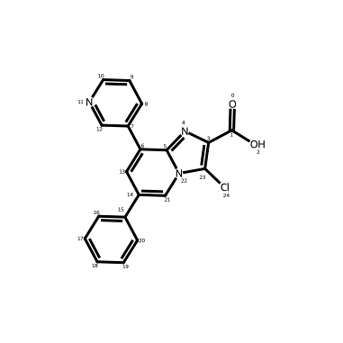 O=C(O)c1nc2c(-c3cccnc3)cc(-c3ccccc3)cn2c1Cl